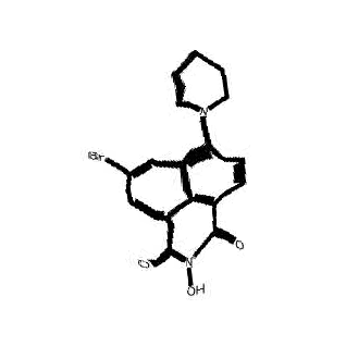 O=C1c2ccc(N3CCCCC3)c3cc(Br)cc(c23)C(=O)N1O